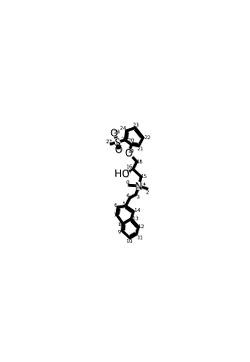 C[N+](C)(CCc1ccc2ccccc2c1)C[C@@H](O)COc1ccccc1S(C)(=O)=O